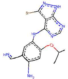 CC(C)Oc1cc(N)c(C=N)cc1Nc1ncnc2[nH]nc(Br)c12